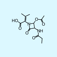 CCC(=O)NC1C(=O)N(C(C(=O)O)=C(C)C)C1OC(C)=O